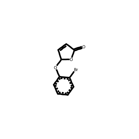 O=C1C=CC(Oc2ccccc2Br)O1